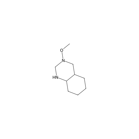 CON1CNC2CCCCC2C1